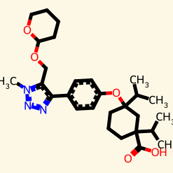 CC(C)C1(Oc2ccc(-c3nnn(C)c3COC3CCCCO3)cc2)CCCC(C(=O)O)(C(C)C)C1